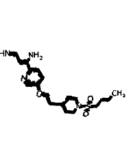 CCCCS(=O)(=O)N1CCC(CCOc2ccc(/C(N)=C/C=N)nc2)CC1